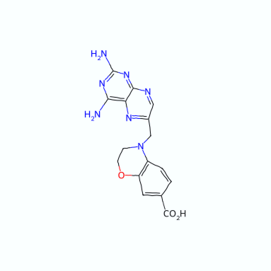 Nc1nc(N)c2nc(CN3CCOc4cc(C(=O)O)ccc43)cnc2n1